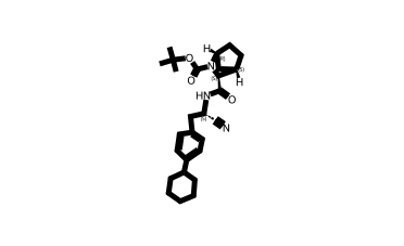 CC(C)(C)OC(=O)N1[C@@H]2CC[C@@H](C2)[C@H]1C(=O)N[C@H](C#N)Cc1ccc(C2CCCCC2)cc1